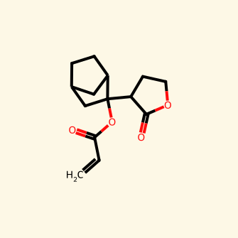 C=CC(=O)OC1(C2CCOC2=O)CC2CCC1C2